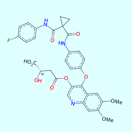 COc1cc2ncc(OC(=O)C[C@H](O)C(=O)O)c(Oc3ccc(NC(=O)C4(C(=O)Nc5ccc(F)cc5)CC4)cc3)c2cc1OC